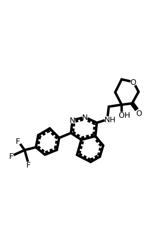 O=C1COCCC1(O)CNc1nnc(-c2ccc(C(F)(F)F)cc2)c2ccccc12